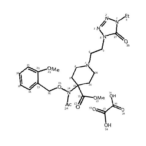 CCn1nnn(CCN2CCC(C(=O)OC)(N(OCc3ccccc3OC)C(C)=O)CC2)c1=O.O=C(O)C(=O)O